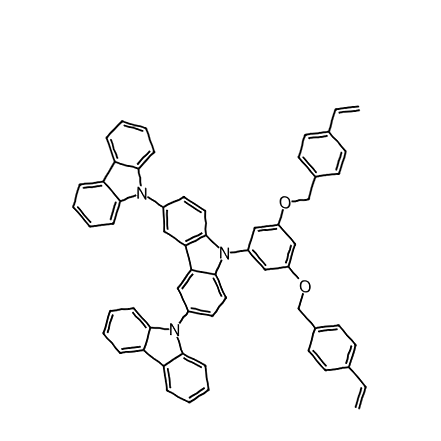 C=Cc1ccc(COc2cc(OCc3ccc(C=C)cc3)cc(-n3c4ccc(-n5c6ccccc6c6ccccc65)cc4c4cc(-n5c6ccccc6c6ccccc65)ccc43)c2)cc1